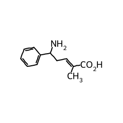 CC(=CCC(N)c1ccccc1)C(=O)O